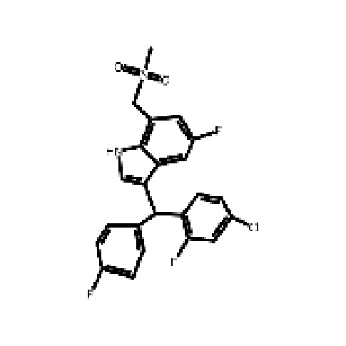 CS(=O)(=O)Cc1cc(F)cc2c(C(c3ccc(F)cc3)c3ccc(Cl)cc3F)c[nH]c12